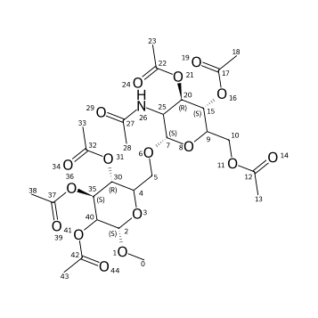 CO[C@H]1OC(CO[C@H]2OC(COC(C)=O)[C@@H](OC(C)=O)[C@H](OC(C)=O)C2NC(C)=O)[C@@H](OC(C)=O)[C@H](OC(C)=O)C1OC(C)=O